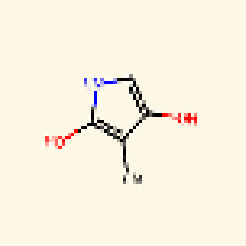 N#Cc1c(O)c[nH]c1O